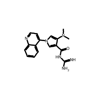 CN(C)c1cn(-c2ccnc3ccccc23)cc1C(=O)NC(=N)N